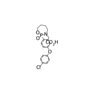 O=C(O)CN1CCCCOP1(=O)c1ccc(Oc2ccc(Cl)cc2)cc1